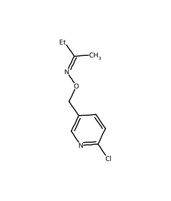 CCC(C)=NOCc1ccc(Cl)nc1